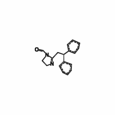 O=CN1CCN=C1CC(c1ccccc1)c1ccccc1